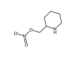 O=[N+]([O-])OCC1CCCCN1